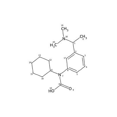 CC(c1cccc(N(C(=O)O)C2CCCCC2)c1)N(C)C